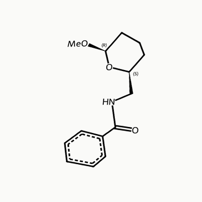 CO[C@H]1CCC[C@@H](CNC(=O)c2ccccc2)O1